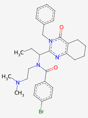 CCC(c1nc2c(c(=O)n1Cc1ccccc1)CCCC2)N(CCN(C)C)C(=O)c1ccc(Br)cc1